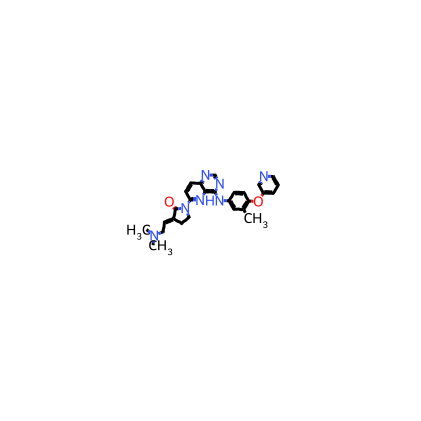 Cc1cc(Nc2ncnc3ccc(N4CC/C(=C\CN(C)C)C4=O)nc23)ccc1Oc1cccnc1